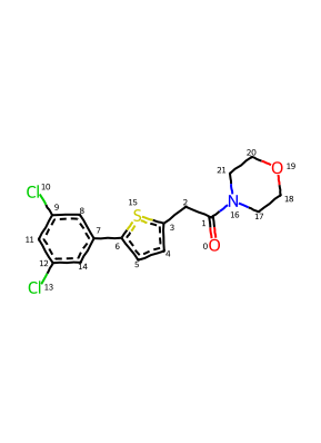 O=C(Cc1ccc(-c2cc(Cl)cc(Cl)c2)s1)N1CCOCC1